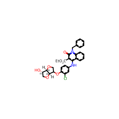 CCOC(=O)c1c(Nc2ccc(OC3CO[C@H]4[C@@H]3OC[C@@H]4O)c(Cl)c2)c2ccccc2n(Cc2ccccc2)c1=O